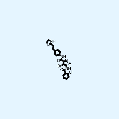 Cn1nc(C(=O)Nc2ccc(CCC3=NCCN3)cc2)c(Br)c1NC(=O)c1ccccc1Cl